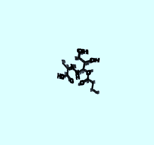 CCCC(=O)OC(NN=C(C)C(=O)O)C(O)CO